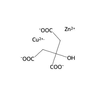 O=C([O-])CC(O)(CC(=O)[O-])C(=O)[O-].[Cu+2].[Zn+2]